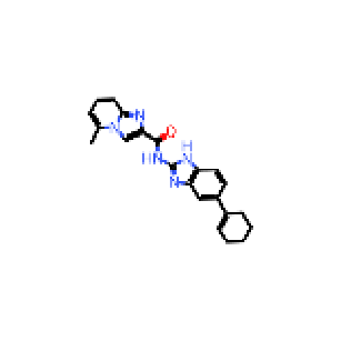 Cc1cccc2nc(C(=O)Nc3nc4cc(C5=CCCCC5)ccc4[nH]3)cn12